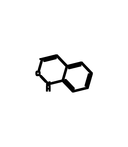 [C]1=Cc2ccccc2NO1